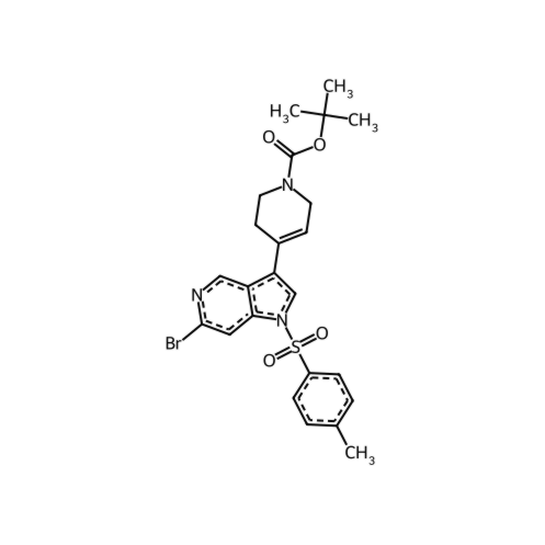 Cc1ccc(S(=O)(=O)n2cc(C3=CCN(C(=O)OC(C)(C)C)CC3)c3cnc(Br)cc32)cc1